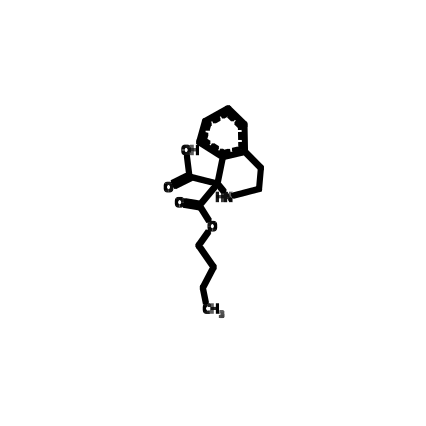 CCCCOC(=O)C1(C(=O)O)NCCc2ccccc21